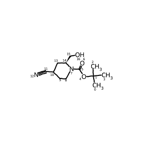 CC(C)(C)OC(=O)N1CCC(C#N)C[C@H]1CO